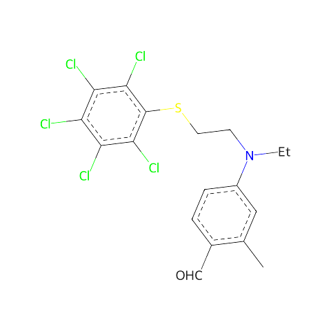 CCN(CCSc1c(Cl)c(Cl)c(Cl)c(Cl)c1Cl)c1ccc(C=O)c(C)c1